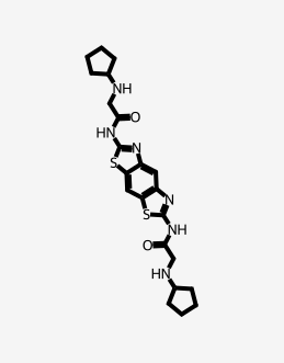 O=C(CNC1CCCC1)Nc1nc2cc3nc(NC(=O)CNC4CCCC4)sc3cc2s1